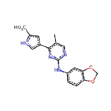 Cc1cnc(Nc2ccc3c(c2)OCO3)nc1-c1c[nH]c(C(=O)O)c1